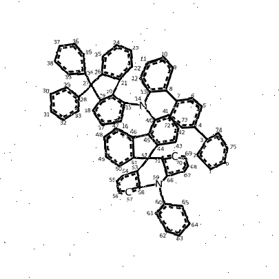 c1ccc(-c2ccc(-c3ccccc3N(c3cccc4c3-c3ccccc3C4(c3ccccc3)c3ccccc3)c3cccc4c3-c3ccccc3C43c4ccccc4N(c4ccccc4)c4ccccc43)cc2)cc1